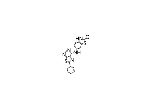 O=c1[nH]c2ccc(Nc3ncnc4sc(-c5ccccc5)nc34)cc2s1